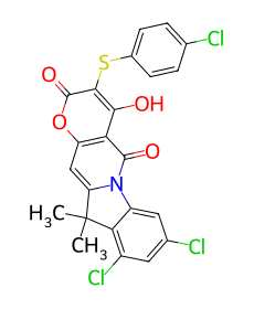 CC1(C)c2c(Cl)cc(Cl)cc2-n2c1cc1oc(=O)c(Sc3ccc(Cl)cc3)c(O)c1c2=O